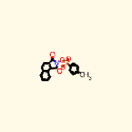 Cc1ccc(S(=O)(=O)ON2C(=O)c3ccc4ccccc4c3C2=O)cc1